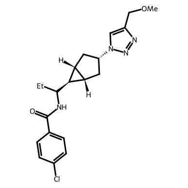 CCC(NC(=O)c1ccc(Cl)cc1)[C@H]1[C@@H]2C[C@H](n3cc(COC)nn3)C[C@@H]21